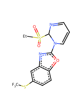 CCS(=O)(=O)C1N=CC=CN1c1nc2cc(SC(F)(F)F)ccc2o1